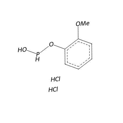 COc1ccccc1OPO.Cl.Cl